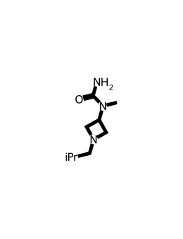 CC(C)CN1CC(N(C)C(N)=O)C1